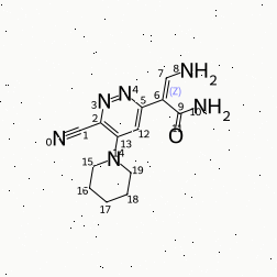 N#Cc1nnc(/C(=C/N)C(N)=O)cc1N1CCCCC1